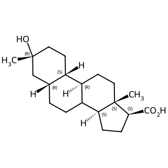 C[C@@]1(O)CC[C@H]2[C@H](CCC3[C@@H]2CC[C@]2(C)[C@@H](C(=O)O)CC[C@@H]32)C1